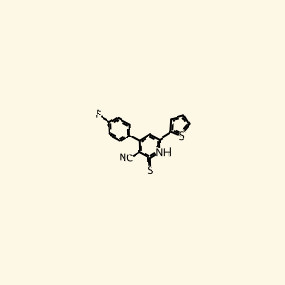 N#Cc1c(-c2ccc(F)cc2)cc(-c2cccs2)[nH]c1=S